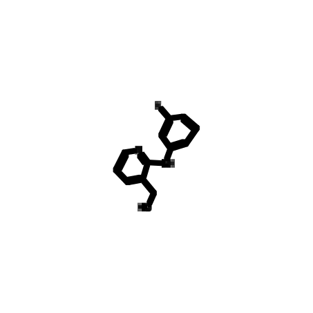 OCc1cccnc1Nc1cccc(F)c1